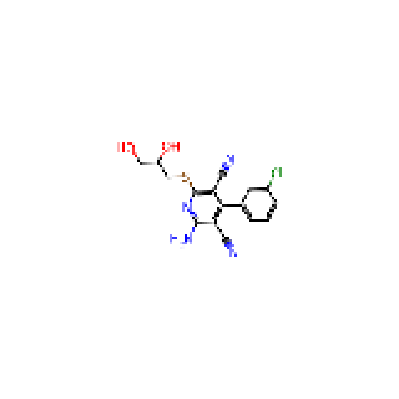 N#Cc1c(N)nc(SCC(O)CO)c(C#N)c1-c1cccc(Cl)c1